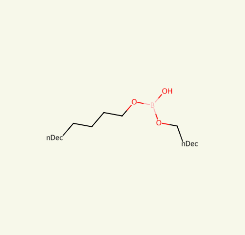 CCCCCCCCCCCCCCOB(O)OCCCCCCCCCCC